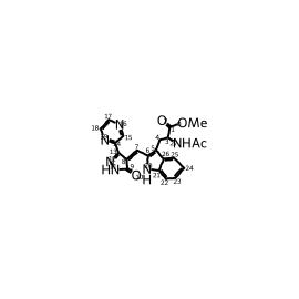 COC(=O)C(Cc1c(C=C2C(=O)NN=C2c2cnccn2)[nH]c2ccccc12)NC(C)=O